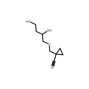 N#CC1(COCC(O)CCO)CC1